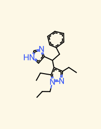 CCCn1nc(CC)c(C(Cc2ccccc2)c2c[nH]cn2)c1CC